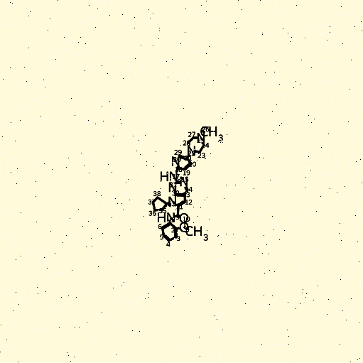 COc1ccccc1NC(=O)c1cc2cnc(Nc3ccc(N4CCN(C)CC4)cn3)nc2n1C1CCCC1